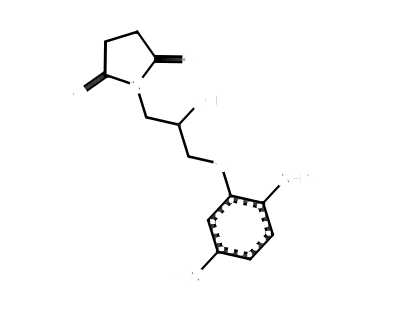 CC(=O)Nc1ccc([N+](=O)[O-])cc1OCC(O)CN1C(=O)CCC1=O